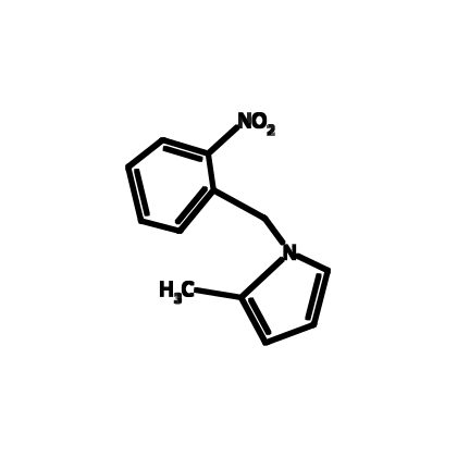 Cc1cccn1Cc1ccccc1[N+](=O)[O-]